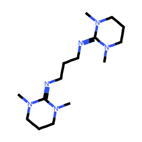 CN1CCCN(C)C1=NCCCN=C1N(C)CCCN1C